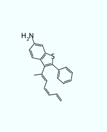 C=C/C=C\C=C(/C)c1c(-c2ccccc2)sc2cc(N)ccc12